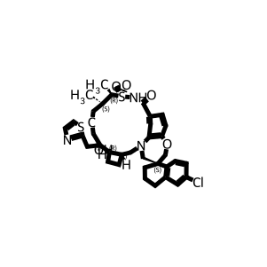 C[C@@H]1[C@@H](C)CCC[C@](O)(Cc2nccs2)[C@@H]2CC[C@H]2CN2C[C@@]3(CCCc4cc(Cl)ccc43)COc3ccc(cc32)C(=O)NS1(=O)=O